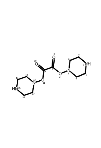 O=C(ON1CCNCC1)C(=O)ON1CCNCC1